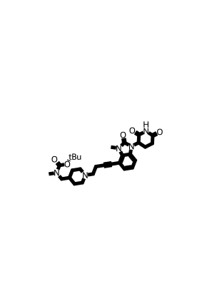 CN(CC1CCN(CCC#Cc2cccc3c2n(C)c(=O)n3C2CCC(=O)NC2=O)CC1)C(=O)OC(C)(C)C